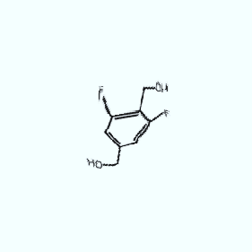 OCc1cc(F)c(CO)c(F)c1